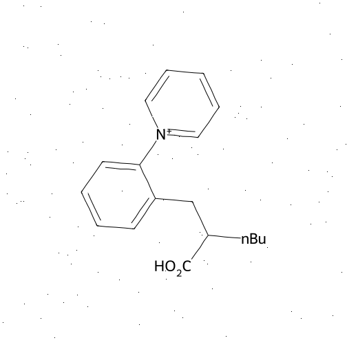 CCCCC(Cc1ccccc1-[n+]1ccccc1)C(=O)O